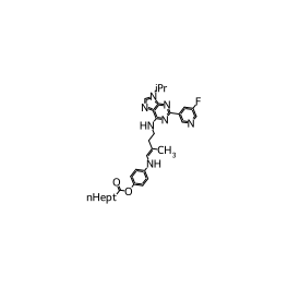 CCCCCCCC(=O)Oc1ccc(N/C=C(\C)CCNc2nc(-c3cncc(F)c3)nc3c2ncn3C(C)C)cc1